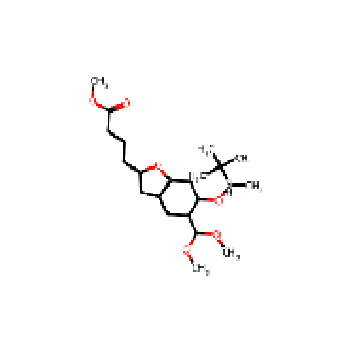 COC(=O)CCCC1CC2CC(C(OC)OC)C(O[SiH](C)C(C)(C)C)CC2O1